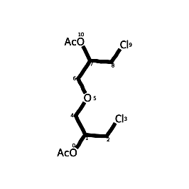 CC(=O)OC(CCl)COCC(CCl)OC(C)=O